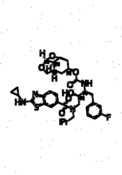 CC(C)CN(C[C@@H](O)[C@H](Cc1cccc(F)c1)NC(=O)O[C@H]1C[C@H]2CO[C@H]3OC1C[C@@H]23)S(=O)(=O)c1ccc2nc(NC3CC3)sc2c1